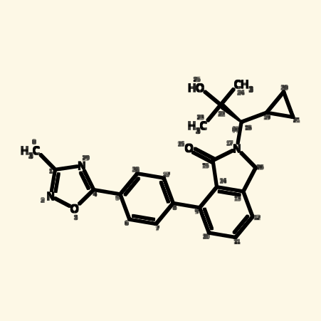 Cc1noc(-c2ccc(-c3cccc4c3C(=O)N([C@H](C3CC3)C(C)(C)O)C4)cc2)n1